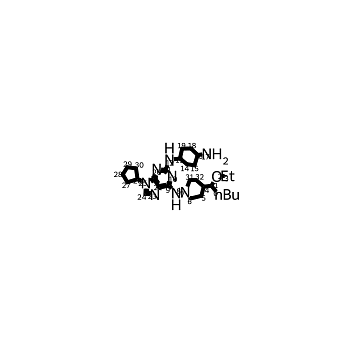 CCCCC(OCC)C1CCN(Nc2nc(NC3CCC(N)CC3)nc3c2ncn3C2CCCC2)CC1